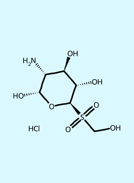 Cl.N[C@@H]1[C@@H](O)[C@H](O)[C@@H](S(=O)(=O)CO)O[C@@H]1O